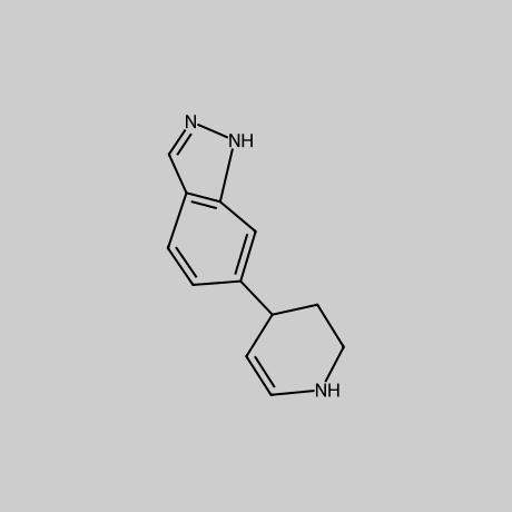 C1=CC(c2ccc3cn[nH]c3c2)CCN1